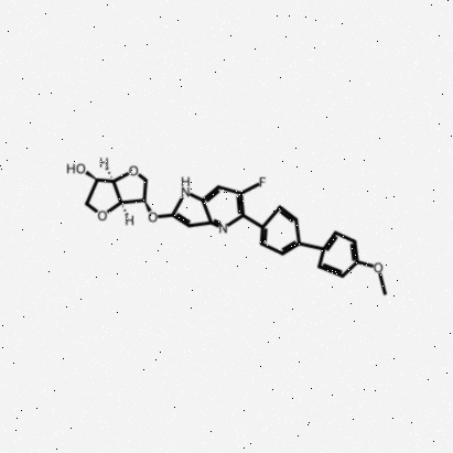 COc1ccc(-c2ccc(-c3nc4cc(O[C@@H]5CO[C@H]6[C@@H]5OC[C@H]6O)[nH]c4cc3F)cc2)cc1